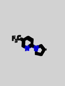 FC(F)(F)c1ccc(N2C[CH]CC2)nc1